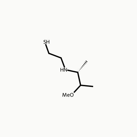 COC(C)[C@@H](C)NCCS